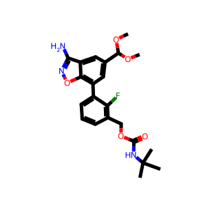 COC(OC)c1cc(-c2cccc(COC(=O)NC(C)(C)C)c2F)c2onc(N)c2c1